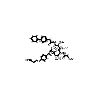 C#CCCOc1ccc(COC2(C(=O)OC)C[C@H](OC(C)=O)[C@@H](NC(=O)COC(C)=O)[C@H]([C@H](OC(C)=O)[C@@H](CNC(=O)Cc3ccc(-c4ccccc4)cc3)OC(C)=O)O2)cc1